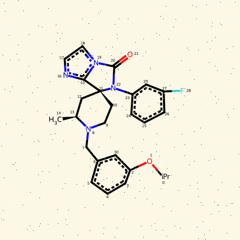 CC(C)Oc1cccc(CN2CC[C@@]3(C[C@@H]2C)c2nccn2C(=O)N3c2cccc(F)c2)c1